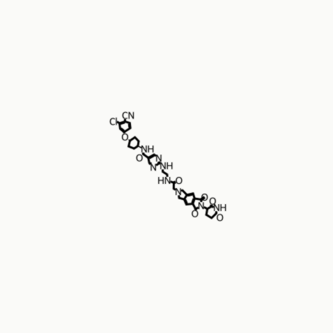 N#Cc1ccc(O[C@H]2CC[C@H](NC(=O)c3cnc(NCCNC(=O)CN4Cc5cc6c(cc5C4)C(=O)N(C4CCC(=O)NC4=O)C6=O)nc3)CC2)cc1Cl